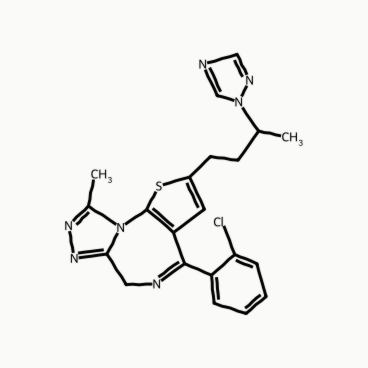 Cc1nnc2n1-c1sc(CCC(C)n3cncn3)cc1C(c1ccccc1Cl)=NC2